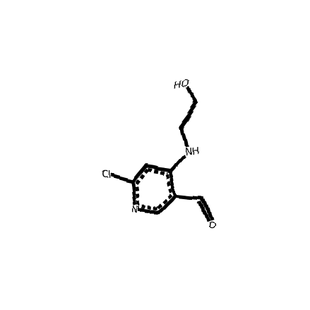 O=Cc1cnc(Cl)cc1NCCO